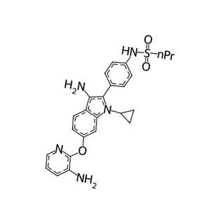 CCCS(=O)(=O)Nc1ccc(-c2c(N)c3ccc(Oc4ncccc4N)cc3n2C2CC2)cc1